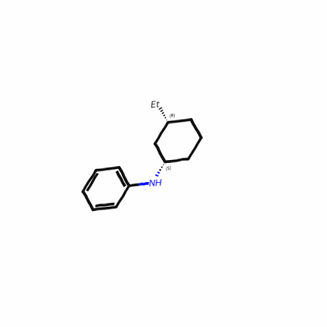 CC[C@@H]1CCC[C@H](Nc2ccccc2)C1